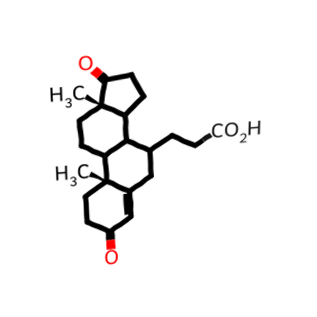 C[C@]12CCC(=O)C=C1CC(CCC(=O)O)C1C2CC[C@]2(C)C(=O)CCC12